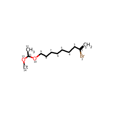 C=C(Br)CCCCCCCOC(C)OCC